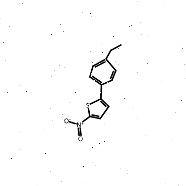 CCc1ccc(-c2ccc([N+](=O)[O-])s2)cc1